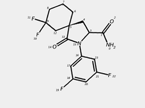 NC(=O)C1C[C@@]2(C[CH]CC(F)(F)C2)C(=O)N1c1cc(F)cc(F)c1